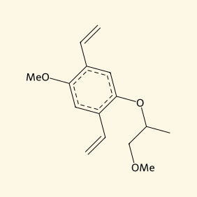 C=Cc1cc(OC(C)COC)c(C=C)cc1OC